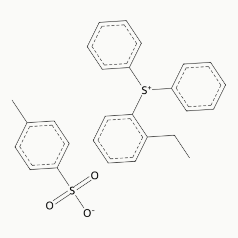 CCc1ccccc1[S+](c1ccccc1)c1ccccc1.Cc1ccc(S(=O)(=O)[O-])cc1